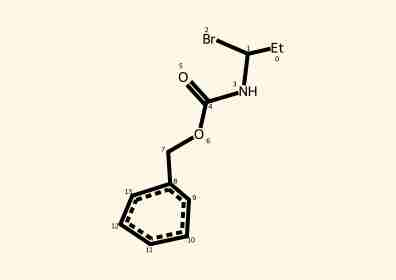 CCC(Br)NC(=O)OCc1ccccc1